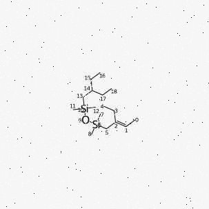 C/C=C(\CC)C[Si](C)(C)O[Si](C)(C)CC(CC)CC